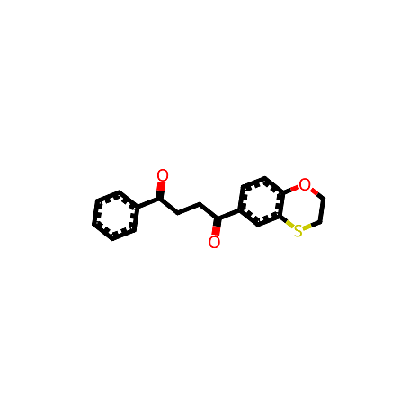 O=C(CCC(=O)c1ccc2c(c1)SCCO2)c1ccccc1